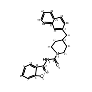 O=C(Nc1noc2ccccc12)N1CCC(Cc2ccc3ccccc3c2)CC1